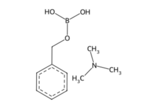 CN(C)C.OB(O)OCc1ccccc1